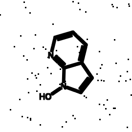 On1ccc2cccnc21